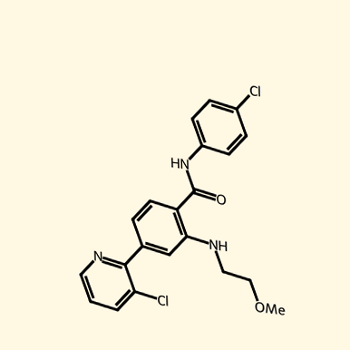 COCCNc1cc(-c2ncccc2Cl)ccc1C(=O)Nc1ccc(Cl)cc1